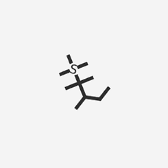 CCC(C)C(C)(C)S(C)(C)C